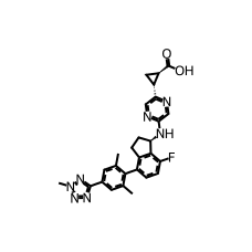 Cc1cc(-c2nnn(C)n2)cc(C)c1-c1ccc(F)c2c1CC[C@H]2Nc1cnc([C@@H]2C[C@H]2C(=O)O)cn1